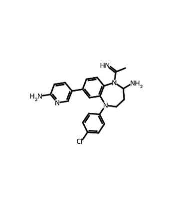 CC(=N)N1c2ccc(-c3ccc(N)nc3)cc2N(c2ccc(Cl)cc2)CCC1N